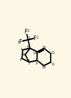 FC(F)(F)C12CCC(C1)C1CCCC=C12